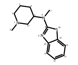 CN1CCCC(N(C)c2nc3ccccc3s2)C1